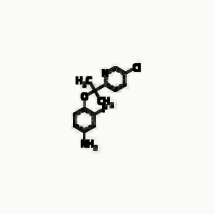 CC(C)(Oc1ccc(N)cc1F)c1ccc(Cl)cn1